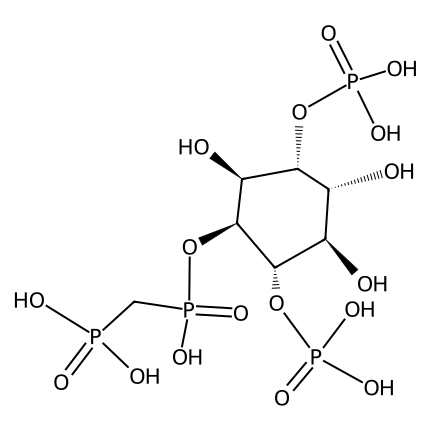 O=P(O)(O)CP(=O)(O)O[C@H]1[C@@H](O)[C@H](OP(=O)(O)O)[C@H](O)[C@@H](O)[C@@H]1OP(=O)(O)O